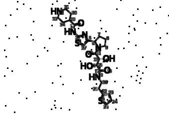 O=C(Nc1nc([C@H]2CCCN2C(=O)[C@H](O)[C@@H](O)C(=O)NCCc2cccs2)cs1)C1CCNCC1